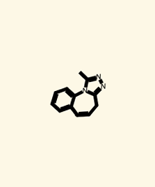 Cc1nnc2n1-c1ccccc1[C]=CC2